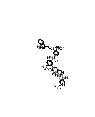 Cc1ccc(Nc2ncc3c(n2)N(C)C(=O)N(c2cc(NC(=O)c4ccc([N+](=O)[O-])c(OCCc5c[nH]c6ccccc56)c4)ccc2C)C3)cn1